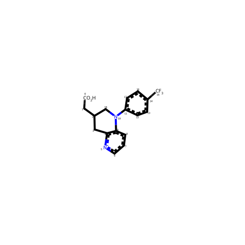 O=C(O)CC1Cc2ncccc2N(c2ccc(C(F)(F)F)cc2)C1